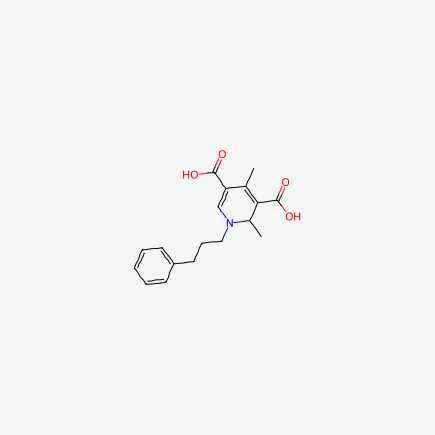 CC1=C(C(=O)O)C(C)N(CCCc2ccccc2)C=C1C(=O)O